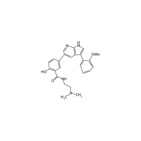 COc1ccccc1-c1c[nH]c2ncc(-c3ccc(O)c(C(=O)NCCN(C)C)c3)cc12